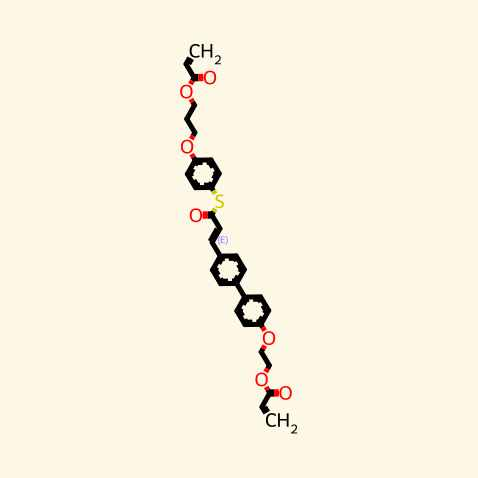 C=CC(=O)OCCCOc1ccc(SC(=O)/C=C/c2ccc(-c3ccc(OCCOC(=O)C=C)cc3)cc2)cc1